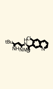 CN/C(=C\C(=N)C(C)(C)C)NC(=O)c1cc2ncccc2cc1Cl